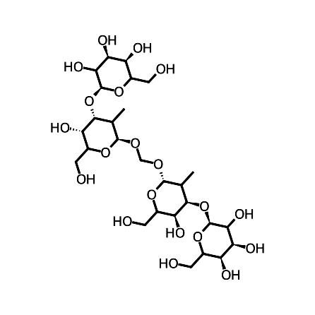 CC1[C@@H](OCO[C@H]2OC(CO)[C@H](O)[C@H](O[C@@H]3OC(CO)[C@H](O)[C@H](O)C3O)C2C)OC(CO)[C@H](O)[C@@H]1O[C@@H]1OC(CO)[C@H](O)[C@H](O)C1O